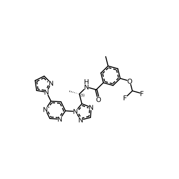 Cc1cc(OC(F)F)cc(C(=O)N[C@@H](C)c2ncnn2-c2cc(-n3cccn3)ncn2)c1